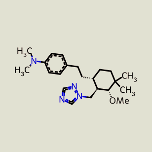 CO[C@@H]1[C@@H](Cn2cncn2)[C@H](CCc2ccc(N(C)C)cc2)CCC1(C)C